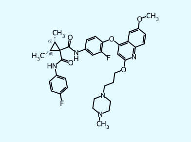 COc1ccc2nc(OCCCN3CCN(C)CC3)cc(Oc3ccc(NC(=O)C4(C(=O)Nc5ccc(F)cc5)[C@H](C)[C@@H]4C)cc3F)c2c1